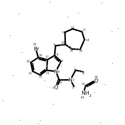 CCN(C)C(=O)n1cc(CC2CCCCCC2)c2c(Br)cccc21.NC=O